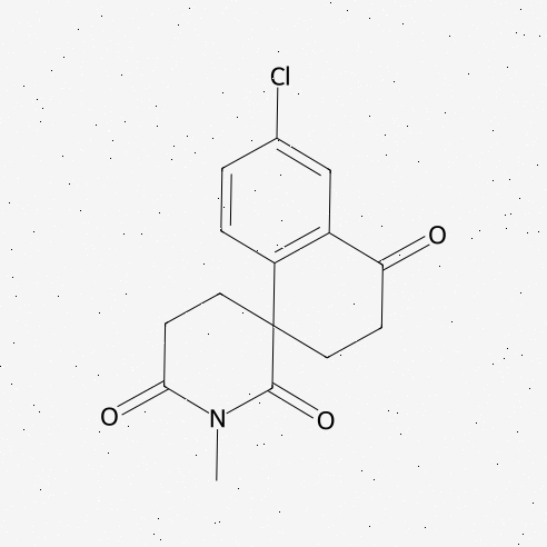 CN1C(=O)CCC2(CCC(=O)c3cc(Cl)ccc32)C1=O